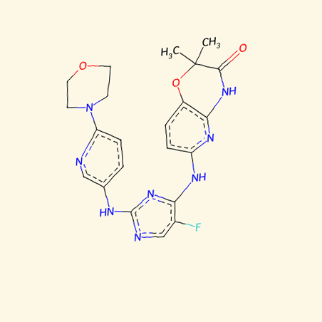 CC1(C)Oc2ccc(Nc3nc(Nc4ccc(N5CCOCC5)nc4)ncc3F)nc2NC1=O